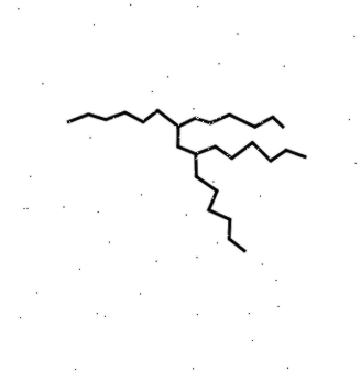 CCCCCCC(CCCCCC)CC(CCCCCC)CCCCCC